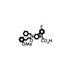 COc1ccccc1CCC(=O)N(CC1CCCCC1)[C@H]1CCc2c(c3cc(F)ccc3n2CC(=O)O)C1